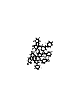 c1ccc(-c2cc3c4c(c2)-n2c5ccccc5c5cccc(c52)B4c2cc4c(cc2N3c2ccccc2)N(c2ccccc2)c2cc(-c3ccccc3)cc3c2B4c2cccc4c5ccccc5n-3c24)cc1